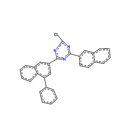 Clc1nc(-c2ccc3ccccc3c2)nc(-c2cc(-c3ccccc3)c3ccccc3c2)n1